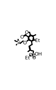 CCOP(=O)(O)CC(C)=CCc1c(CC)c(C)c2c(c1OCC[Si](C)(C)C)C(=O)OC2